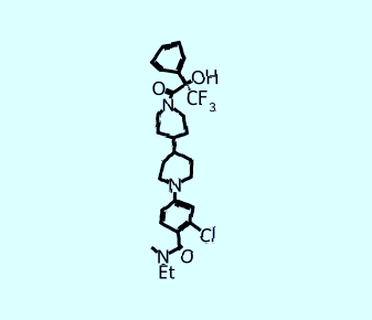 CCN(C)C(=O)c1ccc(N2CCC(C3CCN(C(=O)[C@](O)(c4ccccc4)C(F)(F)F)CC3)CC2)cc1Cl